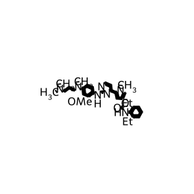 CCc1cccc(CC)c1NC(=O)Oc1cc(-c2ccnc(Nc3ccc(N(C)CCCN(C)C)cc3OC)n2)n(C)c1